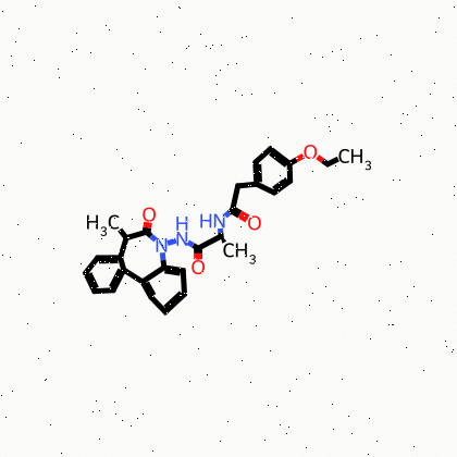 CCOc1ccc(CC(=O)N[C@@H](C)C(=O)NN2C(=O)C(C)c3ccccc3-c3ccccc32)cc1